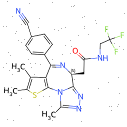 Cc1sc2c(c1C)C(c1ccc(C#N)cc1)=N[C@@H](CC(=O)NCC(F)(F)F)c1nnc(C)n1-2